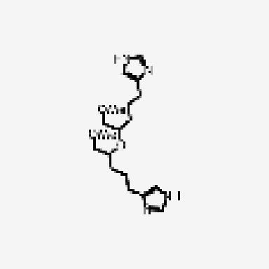 COCC(CCCc1c[nH]cn1)OC(CCCc1c[nH]cn1)COC